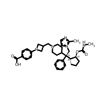 CNC(=O)O[C@H]1CCC[C@@H]1[C@](Cn1ccnc1C)(c1ccccc1)C1CCN(CC2CN(c3ccc(C(=O)O)cc3)C2)CC1